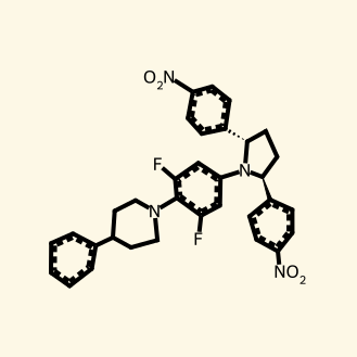 O=[N+]([O-])c1ccc([C@@H]2CC[C@@H](c3ccc([N+](=O)[O-])cc3)N2c2cc(F)c(N3CCC(c4ccccc4)CC3)c(F)c2)cc1